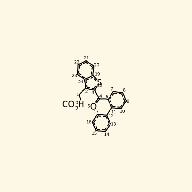 O=C(O)Cc1c(C(=O)c2ccccc2-c2ccccc2)sc2ccccc12